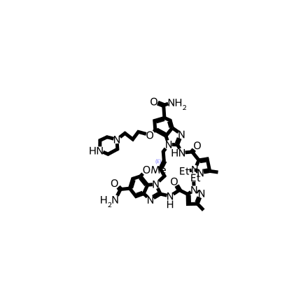 CCn1nc(C)cc1C(=O)Nc1nc2cc(C(N)=O)cc(OC)c2n1C/C=C/Cn1c(NC(=O)c2cc(C)nn2CC)nc2cc(C(N)=O)cc(OCCCN3CCNCC3)c21